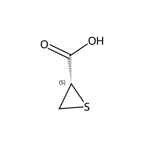 O=C(O)[C@H]1CS1